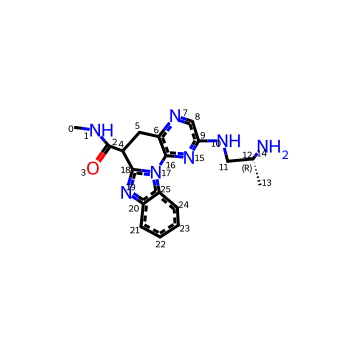 CNC(=O)C1Cc2ncc(NC[C@@H](C)N)nc2-n2c1nc1ccccc12